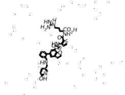 N=C(N)NCCCC(NC(=O)c1sccc1NS(=O)(=O)c1cc(-c2ccccc2CNCc2ccc(O)nc2)cc2c1OCC2)C(=O)O